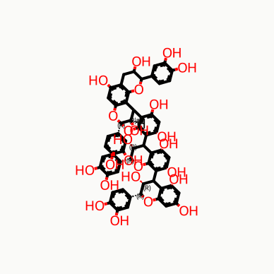 Oc1cc(O)c2c(c1)O[C@H](c1ccc(O)c(O)c1)[C@H](O)C2c1c(O)cc(O)c2c1O[C@H](c1ccc(O)c(O)c1)[C@H](O)C2c1c(O)cc(O)c2c1O[C@@]1(c3ccc(O)c(O)c3)Oc3cc(O)c4c(c3C2[C@H]1O)OC(c1ccc(O)c(O)c1)C(O)C4